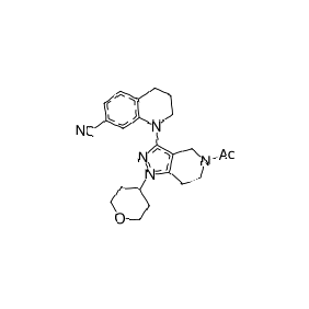 CC(=O)N1CCc2c(c(N3CCCc4ccc(C#N)cc43)nn2C2CCOCC2)C1